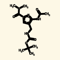 CC(=O)Nc1nn(C(=O)N(C)C)cc1CNC(=O)OC(C)(C)C